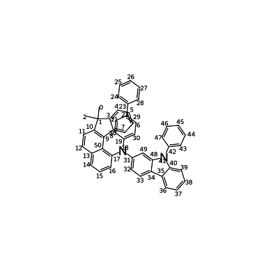 CC1(C)c2ccccc2-c2c1ccc1cccc(N(c3ccc(-c4ccccc4)cc3)c3ccc4c5ccccc5n(-c5ccccc5)c4c3)c21